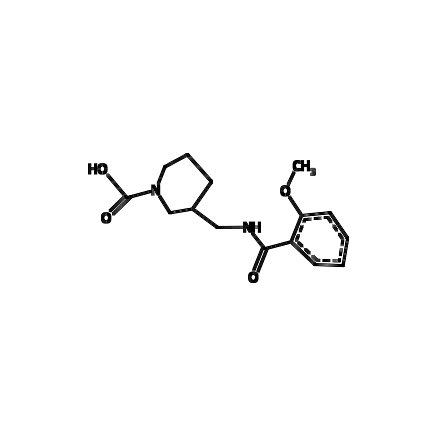 COc1ccccc1C(=O)NCC1CCCN(C(=O)O)C1